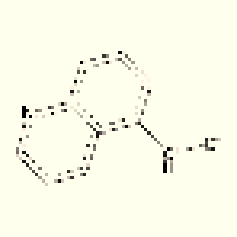 [CH2-][OH+]c1cccc2ncccc12